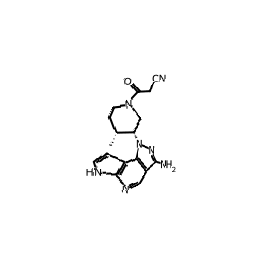 C[C@@H]1CCN(C(=O)CC#N)C[C@@H]1n1nc(N)c2cnc3[nH]ccc3c21